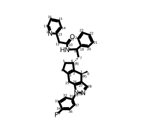 C[C@@H]1C2=C(CC[C@@H]2CC(NC(=O)Cc2ccccn2)c2ccccc2)Cc2c1cnn2-c1ccc(F)cc1